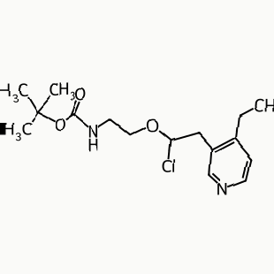 CCc1ccncc1CC(Cl)OCCNC(=O)OC(C)(C)C